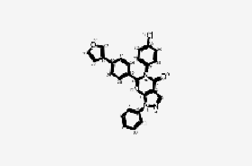 O=c1c2cnn(-c3ccccc3)c2nc(-c2ccc(-c3ccoc3)cc2)n1-c1ccc(Cl)cc1